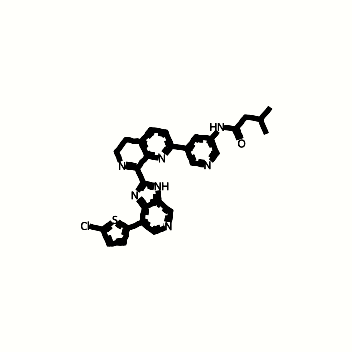 CC(C)CC(=O)Nc1cncc(-c2ccc3c(n2)C(c2nc4c(-c5ccc(Cl)s5)cncc4[nH]2)=NCC3)c1